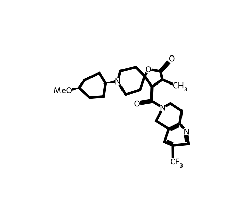 CO[C@H]1CC[C@@H](N2CCC3(CC2)OC(=O)C(C)C3C(=O)N2CCc3ncc(C(F)(F)F)cc3C2)CC1